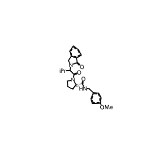 COc1ccc(CNC(=O)[C@@H]2CCCN2C(=O)C(C(C)C)N2Cc3ccccc3C2=O)cc1